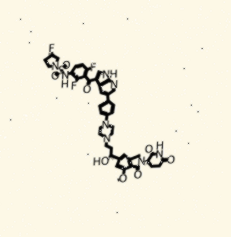 COc1cc([C@H](O)CCN2CCN(c3ccc(-c4cnc5[nH]cc(C(=O)c6c(F)ccc(NS(=O)(=O)N7CC[C@@H](F)C7)c6F)c5c4)cc3)CC2)cc2c1C(=O)N([C@H]1CCC(=O)NC1=O)C2